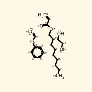 C=CC(=O)OCCCCCCCCC.C=COc1ccccc1.OCCO